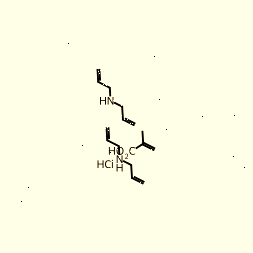 C=C(C)C(=O)O.C=CCNCC=C.C=CCNCC=C.Cl